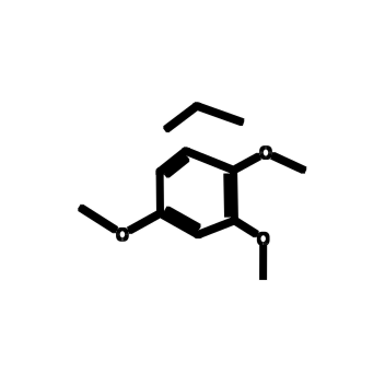 CCC.COc1ccc(OC)c(OC)c1